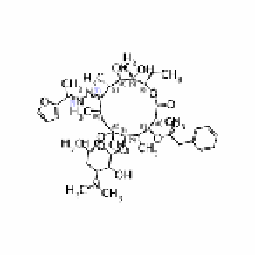 CC[C@H]1OC(=O)[C@H](C)[C@@H](OC(=O)Cc2ccccc2)[C@H](C)[C@@H](OC2OC(C)CC(N(C)C)C2O)[C@](C)(OC)C[C@@H](C)/C(=N\N=C(/C)c2ccco2)[C@H](C)[C@@H](O)[C@]1(C)O